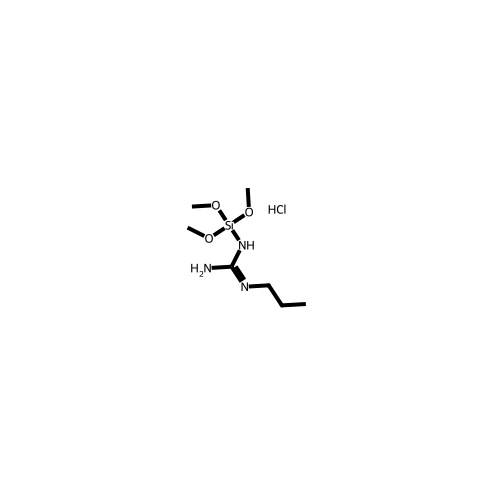 CCCN=C(N)N[Si](OC)(OC)OC.Cl